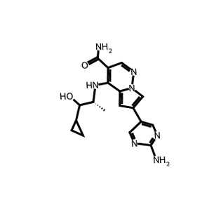 C[C@@H](Nc1c(C(N)=O)cnn2cc(-c3cnc(N)nc3)cc12)C(O)C1CC1